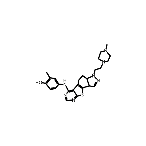 Cc1cc(Nc2ncnc3sc4c(c23)CCC2C4C=NN2CCN2CCN(C)CC2)ccc1O